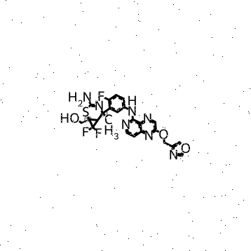 C[C@]1(c2cc(Nc3nccc4nc(OCc5cocn5)cnc34)ccc2F)N=C(N)S[C@]2(CO)C1C2(F)F